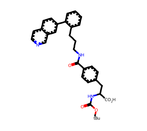 CC(C)(C)OC(=O)NC(Cc1ccc(C(=O)NCCCc2ccccc2-c2ccc3ccncc3c2)cc1)C(=O)O